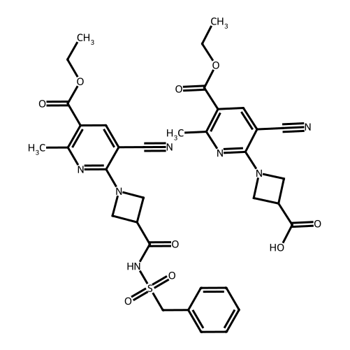 CCOC(=O)c1cc(C#N)c(N2CC(C(=O)NS(=O)(=O)Cc3ccccc3)C2)nc1C.CCOC(=O)c1cc(C#N)c(N2CC(C(=O)O)C2)nc1C